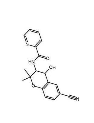 CC1(C)Oc2ccc(C#N)cc2C(O)C1NC(=O)c1ccccn1